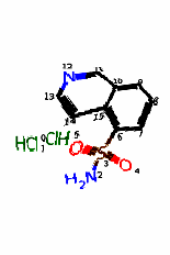 Cl.Cl.NS(=O)(=O)c1cccc2cnccc12